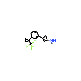 CN[C@@H]1C=C(c2cccc(C3(C(F)(F)F)CC3)c2)C1